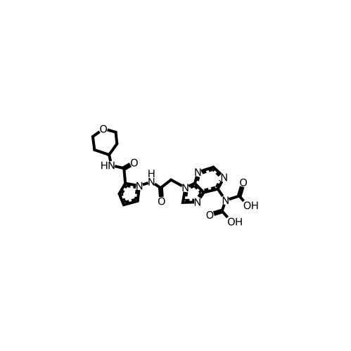 O=C(Cn1cnc2c(N(C(=O)O)C(=O)O)ncnc21)Nn1cccc1C(=O)NC1CCOCC1